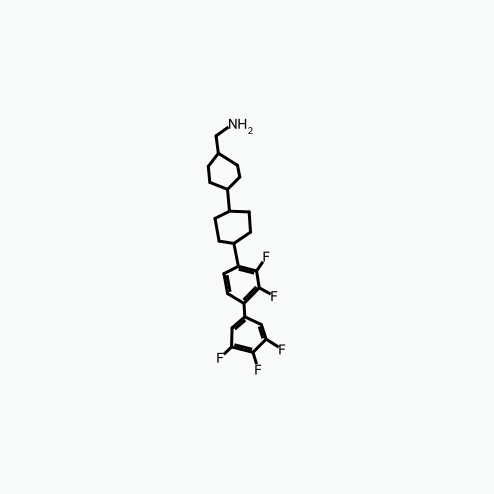 NCC1CCC(C2CCC(c3ccc(-c4cc(F)c(F)c(F)c4)c(F)c3F)CC2)CC1